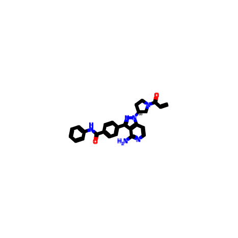 C=CC(=O)N1CC[C@H](n2nc(-c3ccc(C(=O)Nc4ccccc4)cc3)c3c(N)nccc32)C1